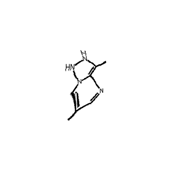 CC1=CN2NNC(C)=C2N=C1